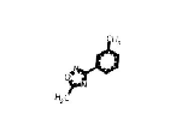 [CH2]c1nc(-c2cccc(C)c2)no1